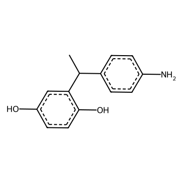 CC(c1ccc(N)cc1)c1cc(O)ccc1O